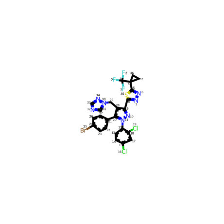 FC(F)(F)C1(c2nnc(-c3nn(-c4ccc(Cl)cc4Cl)c(-c4ccc(Br)cc4)c3Cn3cncn3)s2)CC1